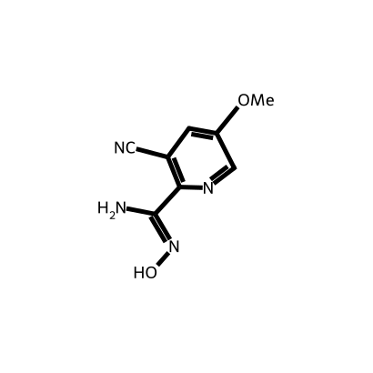 COc1cnc(C(N)=NO)c(C#N)c1